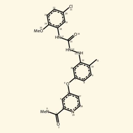 CNC(=O)c1cc(Oc2ccc(C)c(NNC(=O)Nc3cc(Cl)ccc3OC)c2)ccn1